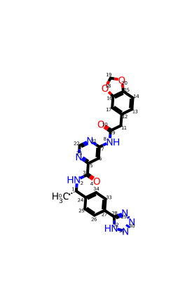 C[C@H](NC(=O)c1cc(NC(=O)Cc2ccc3c(c2)OCO3)ncn1)c1ccc(-c2nnn[nH]2)cc1